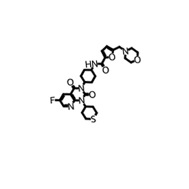 O=C(NC1CCC(n2c(=O)c3cc(F)cnc3n(C3CCSCC3)c2=O)CC1)c1ccc(CN2CCOCC2)o1